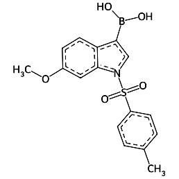 COc1ccc2c(B(O)O)cn(S(=O)(=O)c3ccc(C)cc3)c2c1